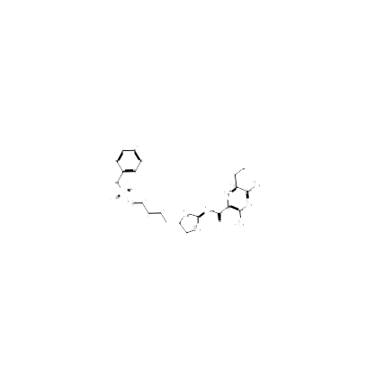 Nc1nc(N)c(C(=O)/N=C2\NC[C@H](CCCCNS(=O)(=O)Cc3ccccc3)N2)nc1CI